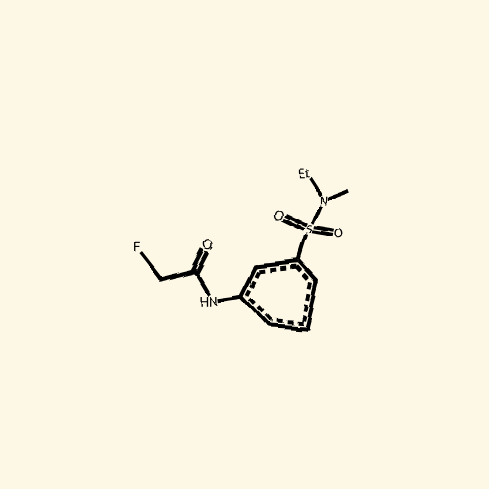 CCN(C)S(=O)(=O)c1cccc(NC(=O)CF)c1